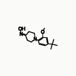 COc1cc(C(C)(C)C)ccc1N1CCC(=NO)CC1